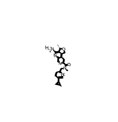 C[C@@H]1OCc2c1c(N)nc1cnc(C(=O)N(C)Cc3ccc(C4CC4)cn3)cc21